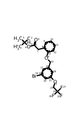 CC(C)(C)OC(=O)Cc1ccccc1OCc1cc(Br)cc(OCC(F)(F)F)c1